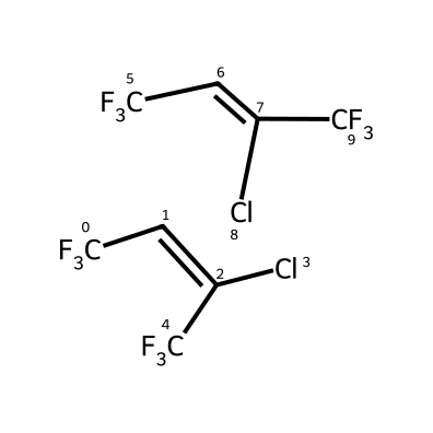 FC(F)(F)/C=C(/Cl)C(F)(F)F.FC(F)(F)/C=C(\Cl)C(F)(F)F